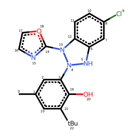 Cc1cc(N2Nc3cc(Cl)ccc3N2c2ncco2)c(O)c(C(C)(C)C)c1